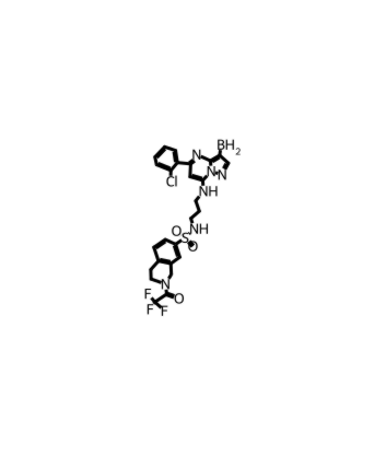 Bc1cnn2c(NCCCNS(=O)(=O)c3ccc4c(c3)CN(C(=O)C(F)(F)F)CC4)cc(-c3ccccc3Cl)nc12